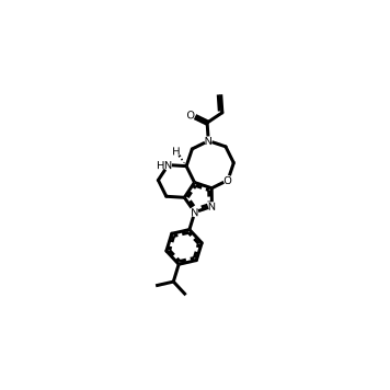 C=CC(=O)N1CCOc2nn(-c3ccc(C(C)C)cc3)c3c2[C@H](C1)NCC3